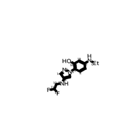 CCNc1ccc(-n2cc(NCC(F)F)cn2)c(O)c1